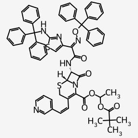 CC(OC(=O)C1=C(/C=C\c2cccnc2)CS[C@@H]2[C@H](NC(=O)/C(=N/OC(c3ccccc3)(c3ccccc3)c3ccccc3)c3csc(NC(c4ccccc4)(c4ccccc4)c4ccccc4)n3)C(=O)N12)OC(=O)C(C)(C)C